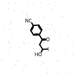 N#Cc1ccc(C(=O)CC(O)I)cc1